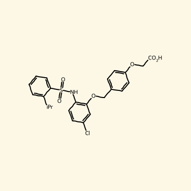 CC(C)c1ccccc1S(=O)(=O)Nc1ccc(Cl)cc1OCc1ccc(OCC(=O)O)cc1